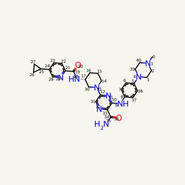 CN1CCN(c2ccc(Nc3nc(N4CCC[C@@H](NC(=O)c5ccc(C6CC6)cn5)C4)cnc3C(N)=O)cc2)CC1